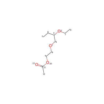 CCOC(CC)COCCOC(C)=O